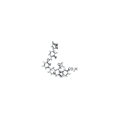 Cn1cc(-c2ccc(COc3cccc(C4CCN(Cc5nc6ccc(C(=O)O)cc6n5C[C@@H]5CCO5)CC4)n3)c(F)c2)nn1